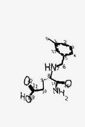 Cc1cccc(CN[C@@H](CCC(=O)O)C(N)=O)c1